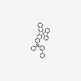 c1ccc(-c2cccc(N(c3ccccc3)c3ccc4cc5c(cc4c3)C3(c4ccccc4-c4ccccc43)c3cc4ccccc4cc3-5)c2)cc1